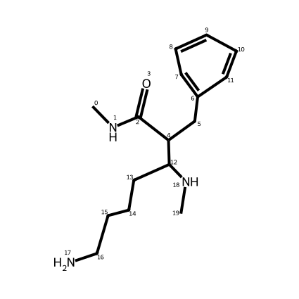 CNC(=O)C(Cc1ccccc1)C(CCCCN)NC